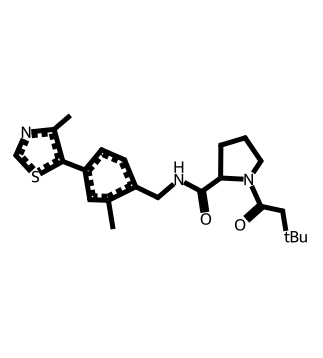 Cc1cc(-c2scnc2C)ccc1CNC(=O)C1CCCN1C(=O)CC(C)(C)C